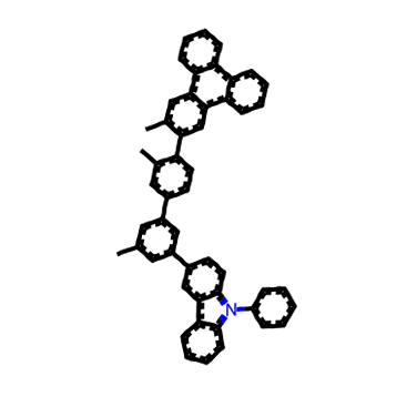 Cc1cc(-c2ccc(-c3cc4c5ccccc5c5ccccc5c4cc3C)c(C)c2)cc(-c2ccc3c(c2)c2ccccc2n3-c2ccccc2)c1